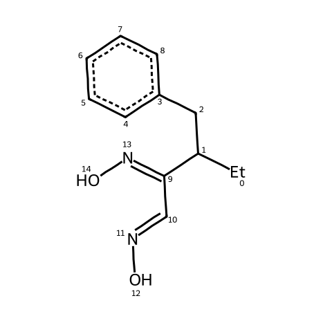 CCC(Cc1ccccc1)C(C=NO)=NO